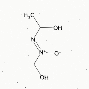 CC(O)N=[N+]([O-])CO